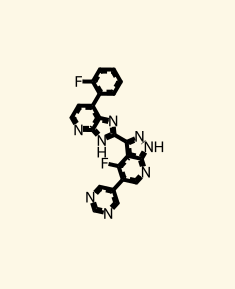 Fc1ccccc1-c1ccnc2[nH]c(-c3n[nH]c4ncc(-c5cncnc5)c(F)c34)nc12